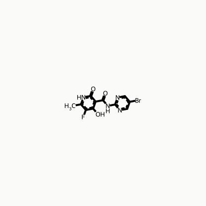 Cc1[nH]c(=O)c(C(=O)Nc2ncc(Br)cn2)c(O)c1F